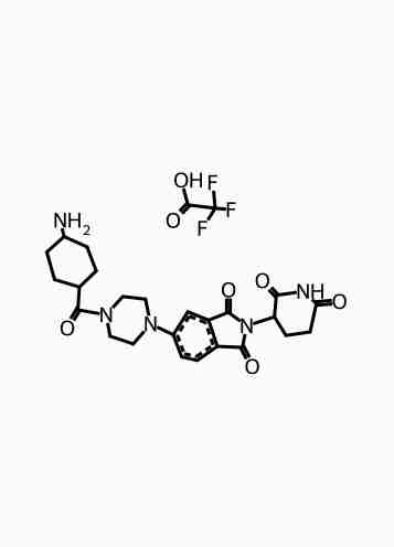 NC1CCC(C(=O)N2CCN(c3ccc4c(c3)C(=O)N(C3CCC(=O)NC3=O)C4=O)CC2)CC1.O=C(O)C(F)(F)F